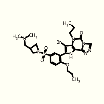 CCCOc1ccc(S(=O)(=O)N2CC(CN(C)C)C2)cc1-c1[nH]c2c(c1Br)n(CCC)c(=O)n1cnnc21